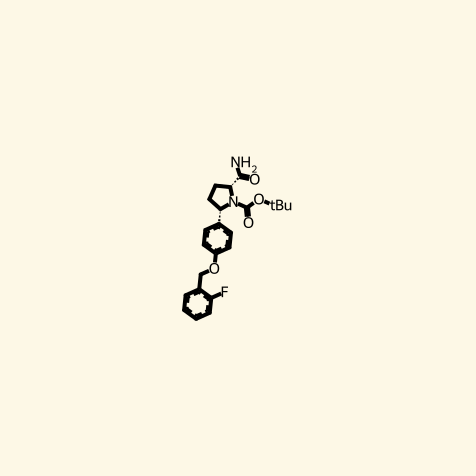 CC(C)(C)OC(=O)N1[C@@H](C(N)=O)CC[C@H]1c1ccc(OCc2ccccc2F)cc1